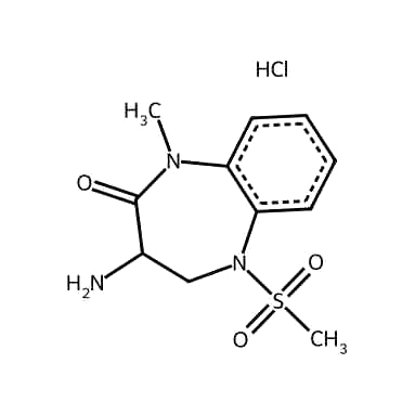 CN1C(=O)C(N)CN(S(C)(=O)=O)c2ccccc21.Cl